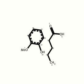 CCCCC(=O)O.COc1ccccc1O